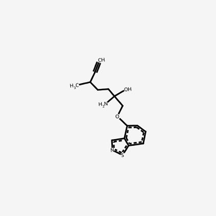 C#CC(C)CCC(N)(O)COc1cccc2sncc12